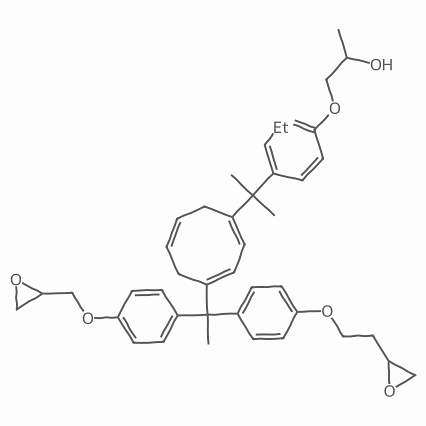 C=C(/C=C\C(=C/CC)C(C)(C)/C1=C/C=C(/C(C)(c2ccc(OCCC3CO3)cc2)c2ccc(OCC3CO3)cc2)C/C=C\C1)OCC(C)O